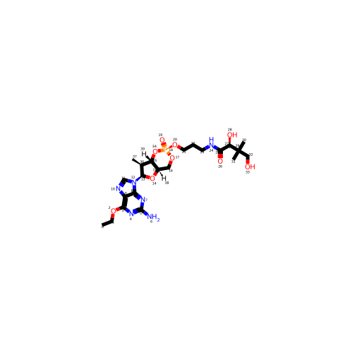 CCOc1nc(N)nc2c1ncn2[C@@H]1O[C@@H]2CO[P@](=O)(OCCCNC(=O)[C@@H](O)C(C)(C)CO)O[C@H]2[C@@H]1C